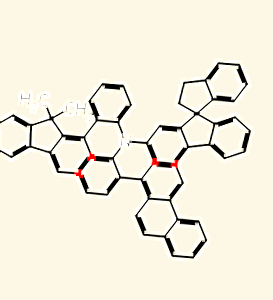 CC1(C)c2ccccc2-c2cccc(-c3ccccc3N(c3ccc4c(c3)C3(CCc5ccccc53)c3ccccc3-4)c3ccccc3-c3cccc4c3ccc3ccccc34)c21